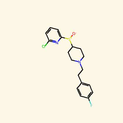 [O-][S+](c1cccc(Cl)n1)C1CCN(CCc2ccc(F)cc2)CC1